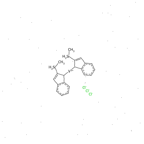 C[SiH2]C1=Cc2ccccc2[CH]1[V+3][CH]1C([SiH2]C)=Cc2ccccc21.[Cl-].[Cl-].[Cl-]